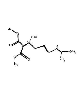 CC(C)(C)OC(=O)N(C(=O)OC(C)(C)C)[C@H](C=O)CCCNC(N)N